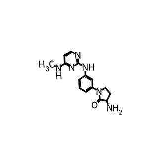 CNc1ccnc(Nc2cccc(N3CCC(N)C3=O)c2)n1